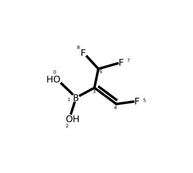 OB(O)C(=CF)C(F)F